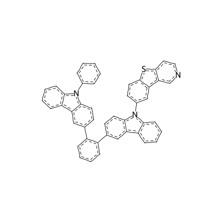 c1ccc(-n2c3ccccc3c3cc(-c4ccccc4-c4ccc5c(c4)c4ccccc4n5-c4ccc5sc6ccncc6c5c4)ccc32)cc1